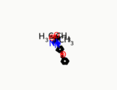 COC(=O)C(C#N)(/N=N/c1ccc(OCc2ccccc2)cc1)C(C)C